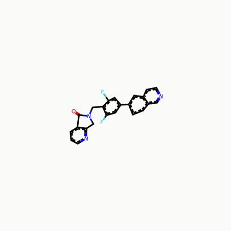 O=C1c2cccnc2CN1Cc1c(F)cc(-c2ccc3cnccc3c2)cc1F